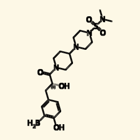 Bc1cc(C[C@@H](O)C(=O)N2CCC(N3CCN(S(=O)(=O)N(C)C)CC3)CC2)ccc1O